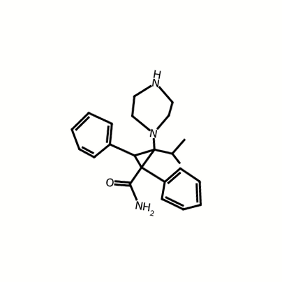 CC(C)C1(N2CCNCC2)C(c2ccccc2)C1(C(N)=O)c1ccccc1